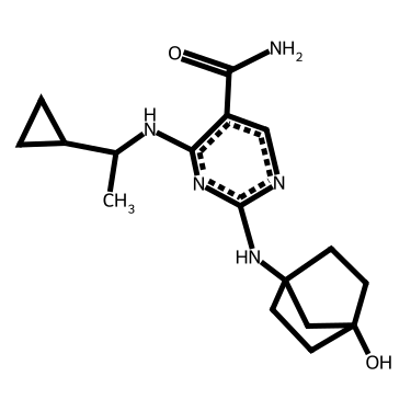 CC(Nc1nc(NC23CCC(O)(CC2)C3)ncc1C(N)=O)C1CC1